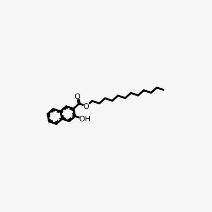 CCCCCCCCCCCCOC(=O)c1cc2ccccc2cc1O